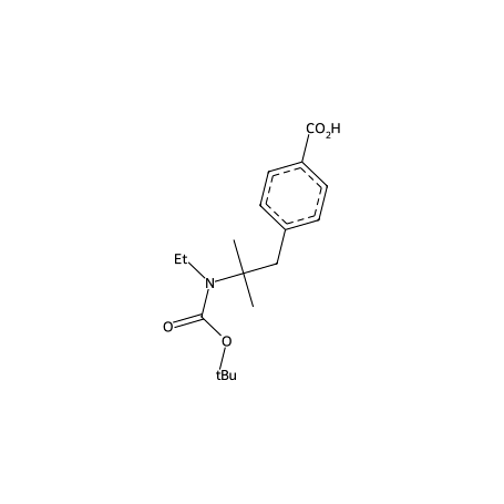 CCN(C(=O)OC(C)(C)C)C(C)(C)Cc1ccc(C(=O)O)cc1